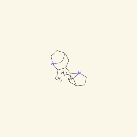 CC1C(C2CC3CCN2[C@H]3C)CC2CCN1CC2